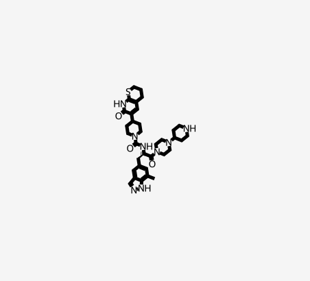 Cc1cc(C[C@@H](NC(=O)N2CCC(c3cc4c([nH]c3=O)SCCC4)CC2)C(=O)N2CCN(C3CCNCC3)CC2)cc2cn[nH]c12